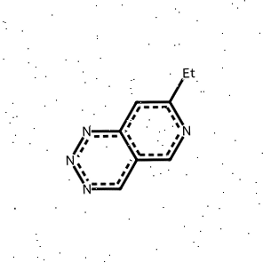 CCc1cc2nnncc2cn1